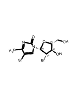 Nc1nc(=O)n([C@@H]2O[C@H](CO)[C@@H](O)[C@@H]2Br)cc1Br